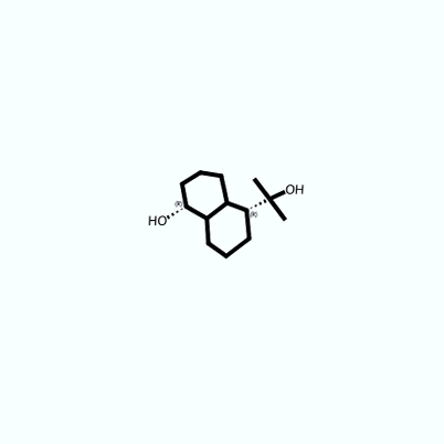 CC(C)(O)[C@@H]1CCCC2C1CCC[C@H]2O